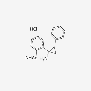 CC(=O)Nc1ccccc1[C@]1(N)C[C@H]1c1ccccc1.Cl